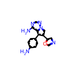 Nc1ccc(-c2c(-c3cnco3)cn3ncnc(N)c23)cc1